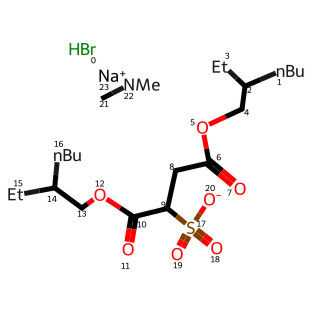 Br.CCCCC(CC)COC(=O)CC(C(=O)OCC(CC)CCCC)S(=O)(=O)[O-].CNC.[Na+]